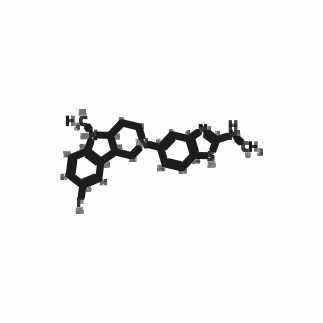 CNc1nc2cc(N3CCC4C(C3)c3cc(F)ccc3N4C)ccc2s1